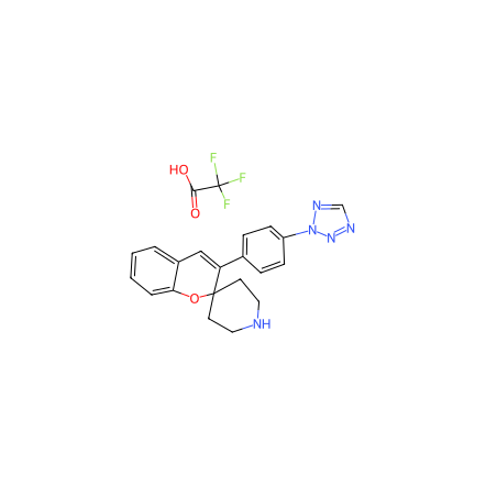 C1=C(c2ccc(-n3ncnn3)cc2)C2(CCNCC2)Oc2ccccc21.O=C(O)C(F)(F)F